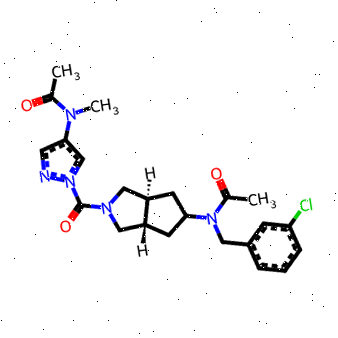 CC(=O)N(C)c1cnn(C(=O)N2C[C@H]3CC(N(Cc4cccc(Cl)c4)C(C)=O)C[C@@H]3C2)c1